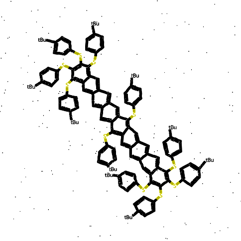 CC(C)(C)c1ccc(Sc2c(Sc3ccc(C(C)(C)C)cc3)c(Sc3ccc(C(C)(C)C)cc3)c3cc4cc5cc6c(Sc7ccc(C(C)(C)C)cc7)c7cc8cc9cc%10c(Sc%11ccc(C(C)(C)C)cc%11)c(Sc%11ccc(C(C)(C)C)cc%11)c(Sc%11ccc(C(C)(C)C)cc%11)c(Sc%11ccc(C(C)(C)C)cc%11)c%10cc9cc8cc7c(Sc7ccc(C(C)(C)C)cc7)c6cc5cc4cc3c2Sc2ccc(C(C)(C)C)cc2)cc1